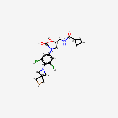 O=C(NC[C@H]1CN(c2cc(F)c(N3CC4(CSC4)C3)c(F)c2)C(=O)O1)C1CCC1